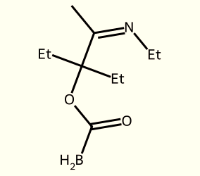 BC(=O)OC(CC)(CC)/C(C)=N\CC